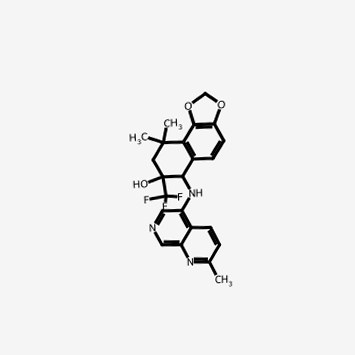 Cc1ccc2c(NC3c4ccc5c(c4C(C)(C)CC3(O)C(F)(F)F)OCO5)cncc2n1